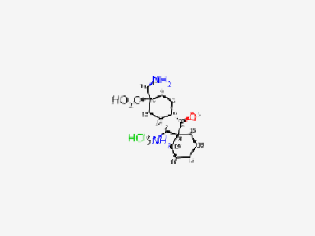 Cl.NCC1(C(=O)[C@H]2CC[C@](CN)(C(=O)O)CC2)CCCCC1